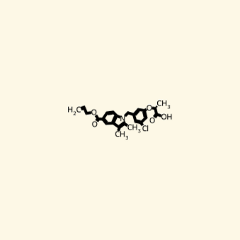 C=CCOC(=O)c1ccc2c(c1)c(C)c(C)n2Cc1cc(Cl)cc(O[C@@H](C)C(=O)O)c1